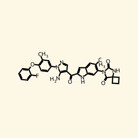 Cc1cc(-n2ncc(C(=O)c3cc4cc(C)c(N5C(=O)NC6(CCC6)C5=O)cc4[nH]3)c2N)ccc1Oc1ccccc1F